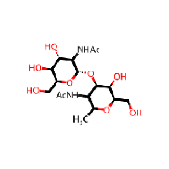 CC(=O)NC1[C@H](O[C@@H]2C(NC(C)=O)C(C)OC(CO)[C@@H]2O)OC(CO)[C@@H](O)[C@@H]1O